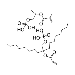 C=C(C)C(=O)OC(C)COP(=O)(O)O.C=CC(=O)OC(CCCCCCCC)(CCCCCCCC)COP(=O)(O)O